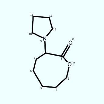 O=C1OCCCCCC1N1CCCC1